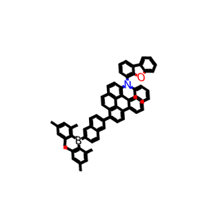 Cc1cc(C)c(B(c2ccc3cc(-c4ccc5c6ccccc6c6c(N(c7ccccc7)c7cccc8c7oc7ccccc78)ccc7ccc4c5c76)ccc3c2)c2c(C)cc(C)cc2C)c(C)c1